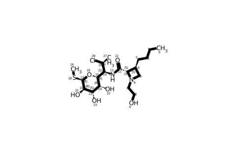 CCCC[C@H]1CN(CCO)[C@@H]1C(=O)N[C@@H]([C@H]1O[C@H](SC)[C@H](O)[C@@H](O)[C@H]1O)[C@H](C)Cl